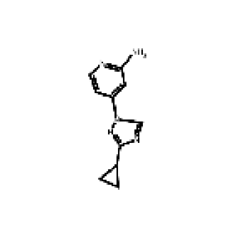 Nc1cc(-n2cnc(C3CC3)n2)ccn1